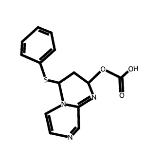 O=C(O)OC1CC(Sc2ccccc2)N2C=CN=CC2=N1